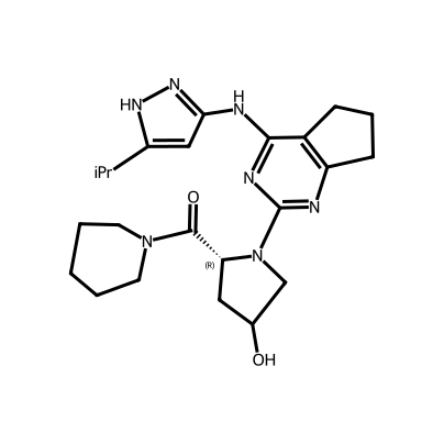 CC(C)c1cc(Nc2nc(N3CC(O)C[C@@H]3C(=O)N3CCCCC3)nc3c2CCC3)n[nH]1